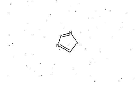 [c]1n[c]sn1